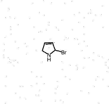 BrC1[C]=CCN1